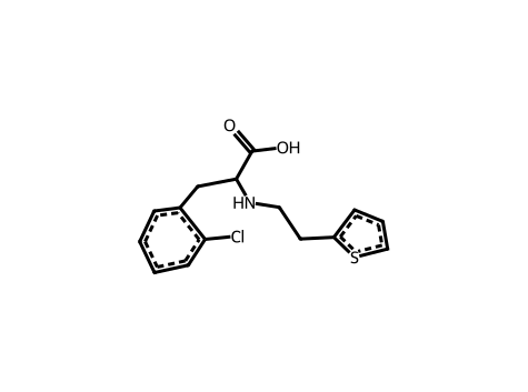 O=C(O)C(Cc1ccccc1Cl)NCCc1cccs1